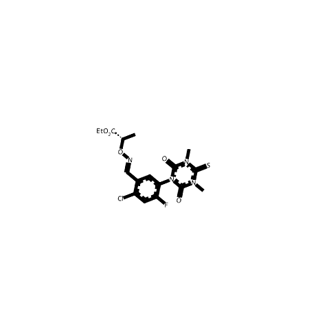 CCOC(=O)[C@H](C)O/N=C/c1cc(-n2c(=O)n(C)c(=S)n(C)c2=O)c(F)cc1Cl